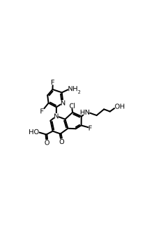 Nc1nc(-n2cc(C(=O)O)c(=O)c3cc(F)c(NCCCO)c(Cl)c32)c(F)cc1F